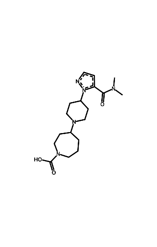 CN(C)C(=O)c1ccnn1C1CCN(C2CCCN(C(=O)O)CC2)CC1